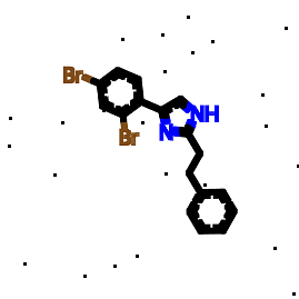 Brc1ccc(-c2c[nH]c(CCc3ccccc3)n2)c(Br)c1